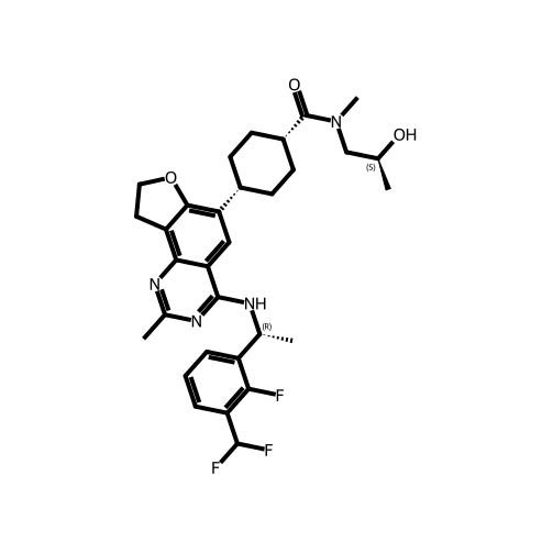 Cc1nc(N[C@H](C)c2cccc(C(F)F)c2F)c2cc([C@H]3CC[C@@H](C(=O)N(C)C[C@H](C)O)CC3)c3c(c2n1)CCO3